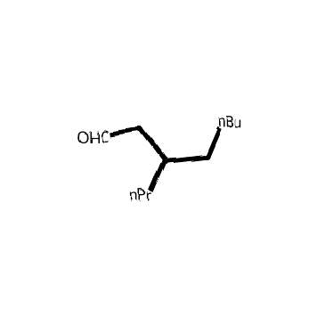 CCCCCC(CC=O)CCC